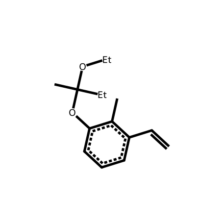 C=Cc1cccc(OC(C)(CC)OCC)c1C